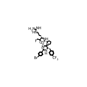 N=C(N)NCCC[C@H](NC(=O)[C@@H]1CCCN1C(=O)[C@H](Cc1ccc(C(F)(F)F)cc1)NC(=O)c1ccc(Br)cc1)C(=O)CF